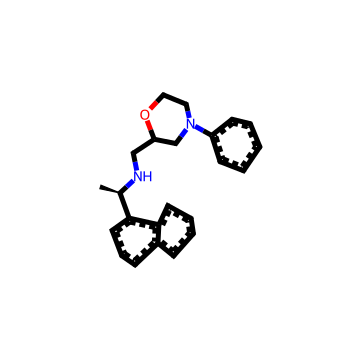 C[C@@H](NCC1CN(c2ccccc2)CCO1)c1cccc2ccccc12